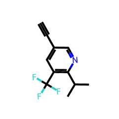 C#Cc1cnc(C(C)C)c(C(F)(F)F)c1